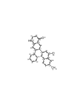 Cc1ccc2cc(-c3cc4c(=O)cc[nH]c4nc3-c3ccccc3)cc(Cl)c2n1